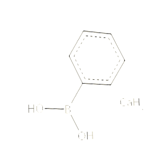 OB(O)c1ccccc1.[CaH2]